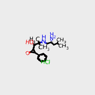 CC(C)C[C@@H](N)CNC(C)(C)[C@H](O)C1C(=O)C1c1ccccc1.Cl